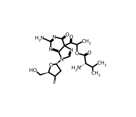 CC(OC(=O)[C@@H](N)C(C)C)C(=O)C12N=CN([C@H]3CC(F)[C@@H](CO)O3)C1=NC(N)=NC2=O